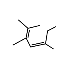 CC/C(C)=C\C(C)=C(C)C